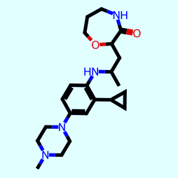 CC(CC1OCCCNC1=O)Nc1ccc(N2CCN(C)CC2)cc1C1CC1